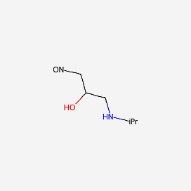 CC(C)NCC(O)CN=O